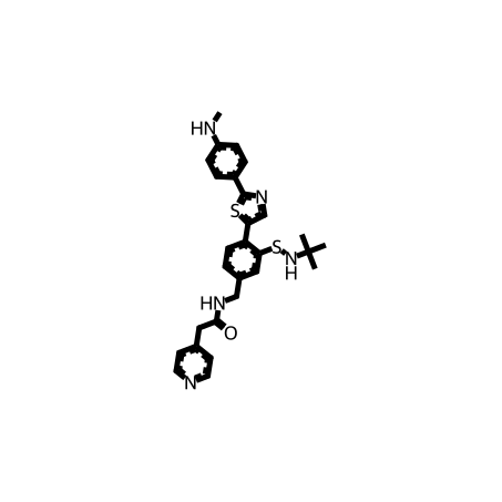 CNc1ccc(-c2ncc(-c3ccc(CNC(=O)Cc4ccncc4)cc3SNC(C)(C)C)s2)cc1